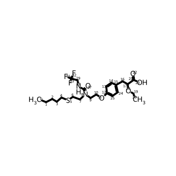 CCCCCSCCN(CCOc1ccc(CC(OCC)C(=O)O)cc1)C(=O)NCC(F)(F)F